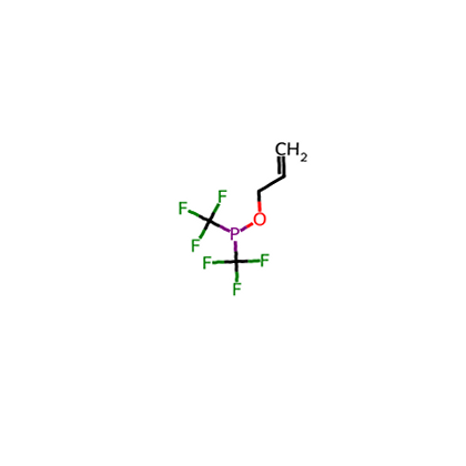 C=CCOP(C(F)(F)F)C(F)(F)F